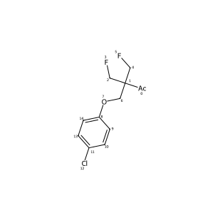 CC(=O)C(CF)(CF)COc1ccc(Cl)cc1